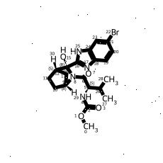 COC(=O)N[C@H](C(=O)N1[C@@H]2CC[C@@H](C2)[C@@]1(O)c1nc2ccc(Br)cc2[nH]1)C(C)C